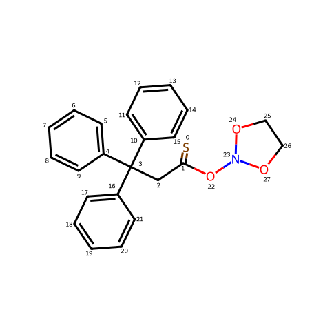 S=C(CC(c1ccccc1)(c1ccccc1)c1ccccc1)ON1OCCO1